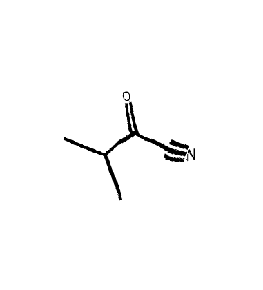 CC(C)C(=O)C#N